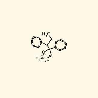 C=CC(O[SiH3])(c1ccccc1)C(CC)c1ccccc1